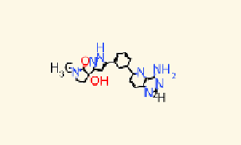 [2H]c1nc(N)c2nc(-c3cccc(-c4cc([C@]5(O)CCN(C)C5=O)n[nH]4)c3)ccc2n1